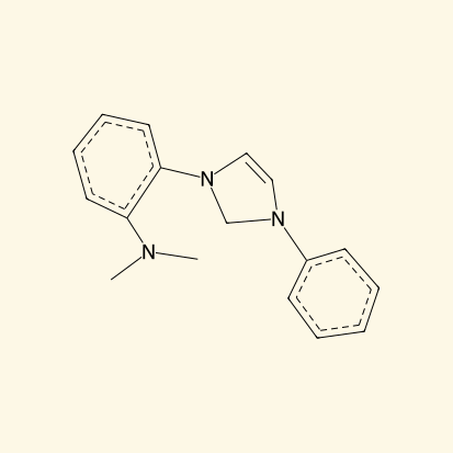 CN(C)c1ccccc1N1C=CN(c2ccccc2)C1